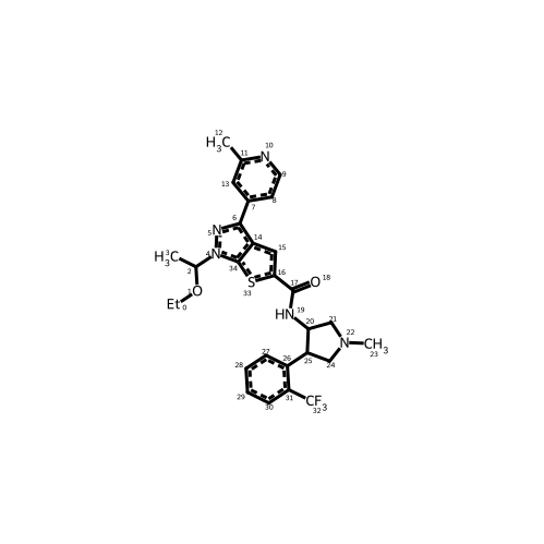 CCOC(C)n1nc(-c2ccnc(C)c2)c2cc(C(=O)NC3CN(C)CC3c3ccccc3C(F)(F)F)sc21